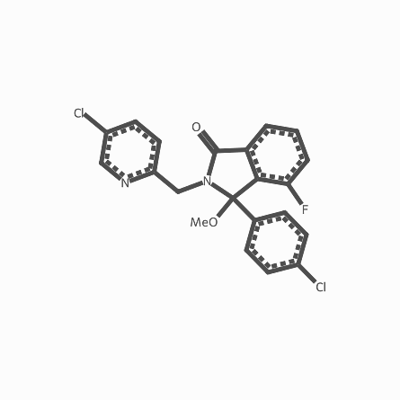 COC1(c2ccc(Cl)cc2)c2c(F)cccc2C(=O)N1Cc1ccc(Cl)cn1